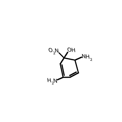 NC1=CC(O)([N+](=O)[O-])C(N)C=C1